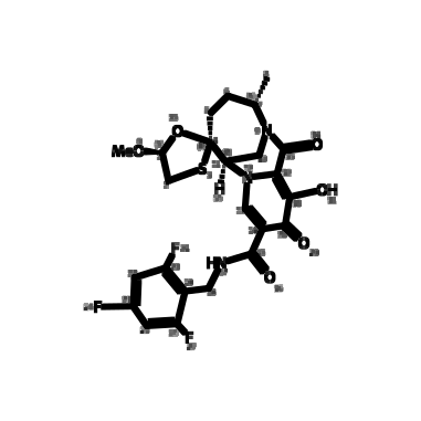 CO[C@@H]1CS[C@@]2(CC[C@H](C)N3C[C@H]2n2cc(C(=O)NCc4c(F)cc(F)cc4F)c(=O)c(O)c2C3=O)O1